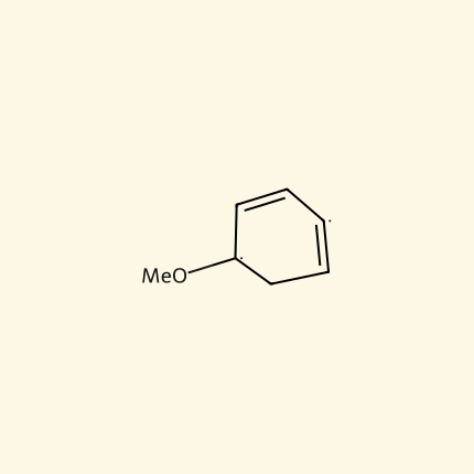 CO[C]1C=C[C]=CC1